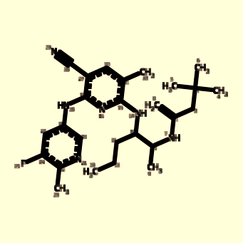 C=C(CC(C)(C)C)NC(C)C(CCC)Nc1nc(Nc2cnc(C)c(F)c2)c(C#N)cc1C